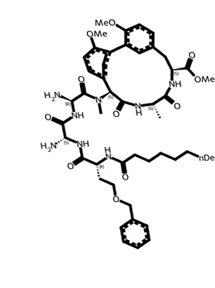 CCCCCCCCCCCCCCCC(=O)N[C@H](CCOCc1ccccc1)C(=O)N[C@H](N)C(=O)N[C@@H](N)C(=O)N(C)[C@@H]1C(=O)N[C@@H](C)C(=O)N[C@H](C(=O)OC)Cc2ccc(OC)c(c2)-c2cc1ccc2OC